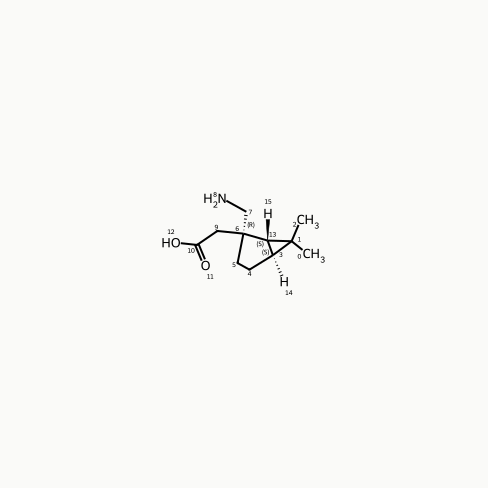 CC1(C)[C@H]2CC[C@@](CN)(CC(=O)O)[C@@H]21